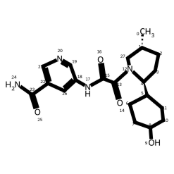 C[C@@H]1CC[C@@H](C2CCC(O)CC2)N(C(=O)C(=O)Nc2cncc(C(N)=O)c2)C1